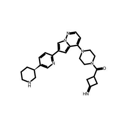 N=C1CC(C(=O)N2CCN(c3ccnn4cc(-c5ccc([C@@H]6CCCNC6)cn5)cc34)CC2)C1